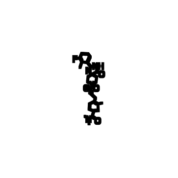 Cc1cc(C(=O)N(C)C)ccc1CCS(=O)(=O)N1CCC2(CC1)N=C(c1cccc(F)c1C)NC2=O